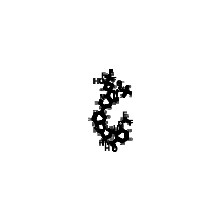 CC(C)(C)[S@@+]([O-])NC1(c2ncc(-c3ccc4nc5n(c4c3)[C@@H]3C[C@H]5NC(=O)c4cccc(OC(F)F)c43)cc2F)CC(O)(C(F)(F)F)C1